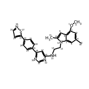 COc1cc(F)cc2c1cc(C)n2CCNc1cc(-c2ccc(-c3ccns3)cc2)ncn1